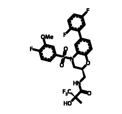 COc1cc(S(=O)(=O)N2C[C@H](CNC(=O)[C@@](C)(O)C(F)(F)F)Oc3ccc(-c4cc(F)ccc4F)cc32)ccc1F